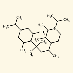 CC(C)N1CC(C)N(C(C)(C)CC(C)N2CCN(C(C)C)C(C)C2C)C(C)C1